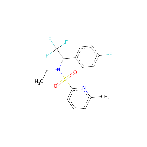 CCN(C(c1ccc(F)cc1)C(F)(F)F)S(=O)(=O)c1cccc(C)n1